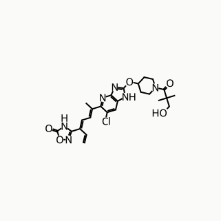 C=C/C(=C\C=C(/C)c1nc2nc(OC3CCN(C(=O)C(C)(C)CO)CC3)[nH]c2cc1Cl)c1noc(=O)[nH]1